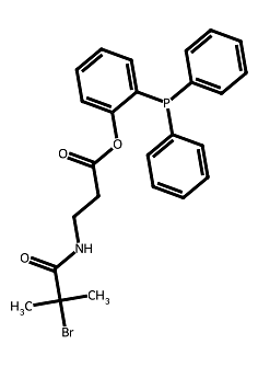 CC(C)(Br)C(=O)NCCC(=O)Oc1ccccc1P(c1ccccc1)c1ccccc1